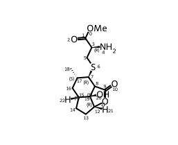 COC(=O)[C@@H](N)CS[C@H]1C2C(=O)O[C@@H]3CC[C@H](C[C@@H]1C)[C@]23O